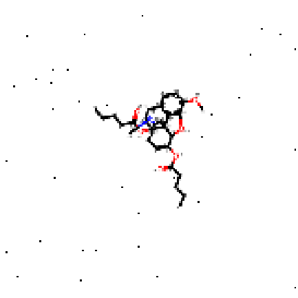 CCCCC(=O)OC1=CCC2(OC(=O)CCCC)C3Cc4ccc(OC)c5c4C2(CCN3C)C1O5